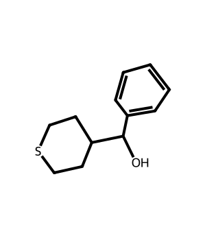 OC(c1ccccc1)C1CCSCC1